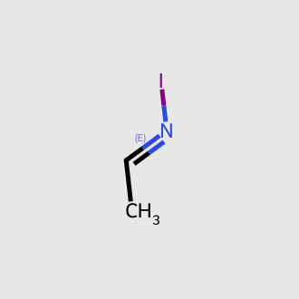 C/C=N/I